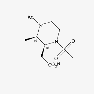 CC(=O)N1CCN(S(C)(=O)=O)[C@@H](CC(=O)O)[C@H]1C